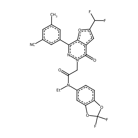 CCN(C(=O)Cn1nc(-c2cc(C)cc(C#N)c2)c2oc(C(F)F)cc2c1=O)c1ccc2c(c1)OC(F)(F)O2